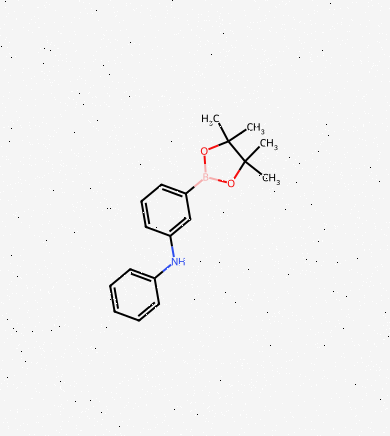 CC1(C)OB(c2cccc(Nc3ccccc3)c2)OC1(C)C